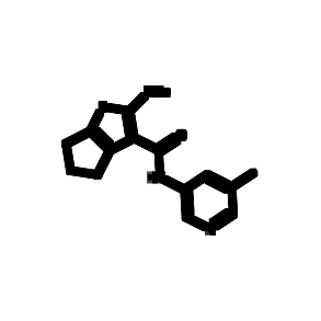 CNc1sc2c(c1C(=O)Nc1cncc(C)c1)CCC2